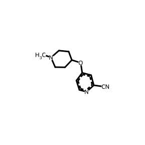 CN1CCC(Oc2ccnc(C#N)c2)CC1